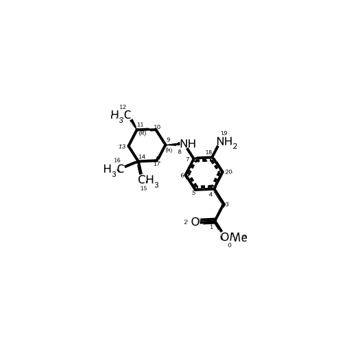 COC(=O)Cc1ccc(N[C@@H]2C[C@H](C)CC(C)(C)C2)c(N)c1